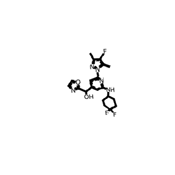 Cc1nn(-c2cc(C(O)c3ncco3)cc(NC3CCC(F)(F)CC3)n2)c(C)c1F